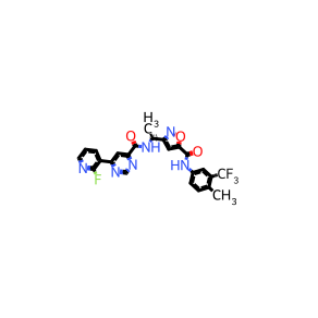 Cc1ccc(NC(=O)c2cc([C@H](C)NC(=O)c3cc(-c4cccnc4F)ncn3)no2)cc1C(F)(F)F